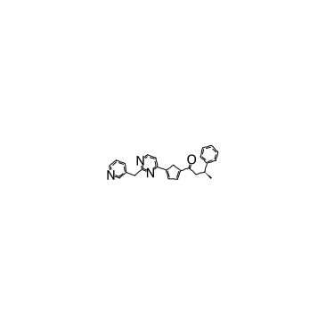 C[C@@H](CC(=O)C1=CC=C(c2ccnc(Cc3cccnc3)n2)C1)c1ccccc1